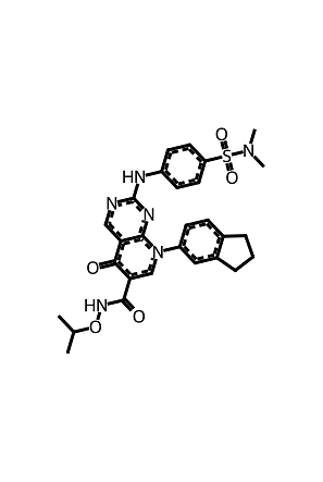 CC(C)ONC(=O)c1cn(-c2ccc3c(c2)CCC3)c2nc(Nc3ccc(S(=O)(=O)N(C)C)cc3)ncc2c1=O